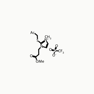 COC(=O)CCn1cc[n+](C)c1SCC(C)=O.O=S(=O)([O-])C(F)(F)F